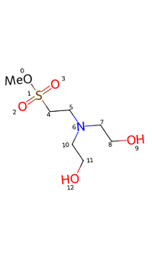 COS(=O)(=O)CCN(CCO)CCO